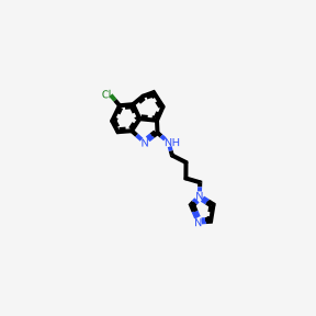 Clc1ccc2c3c(cccc13)C(NCCCCn1ccnc1)=N2